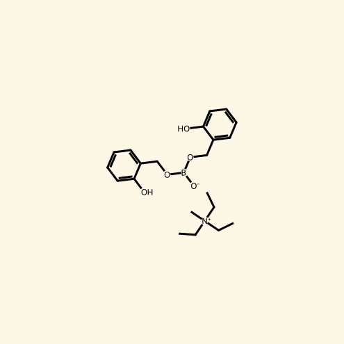 CC[N+](C)(CC)CC.[O-]B(OCc1ccccc1O)OCc1ccccc1O